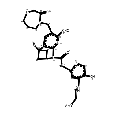 COCCNc1cc(NC(=O)N2c3nc(C=O)c(CN4CCCOCC4=O)cc3C3(F)CC2C3)ncc1C#N